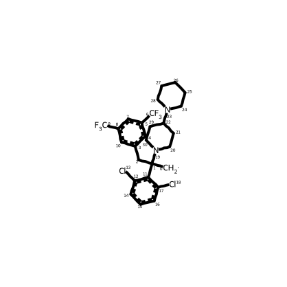 [CH2]C(Cc1cc(C(F)(F)F)cc(C(F)(F)F)c1)(c1c(Cl)cccc1Cl)N1CCC(N2CCCCC2)CC1